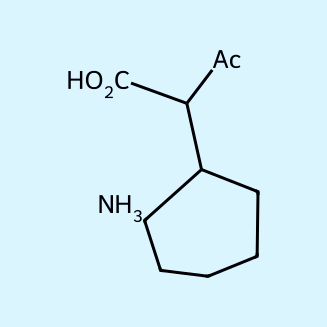 CC(=O)C(C(=O)O)C1CCCCC1.N